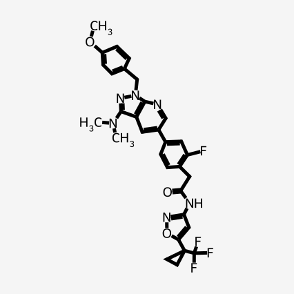 COc1ccc(Cn2nc(N(C)C)c3cc(-c4ccc(CC(=O)Nc5cc(C6(C(F)(F)F)CC6)on5)c(F)c4)cnc32)cc1